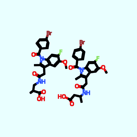 COc1cc2c(CC(=O)NC(C)CC(=O)O)c(C)n(C(=O)c3ccc(Br)cc3)c2cc1F.COc1cc2c(CC(=O)NCC(C)C(=O)O)c(C)n(C(=O)c3ccc(Br)cc3)c2cc1F